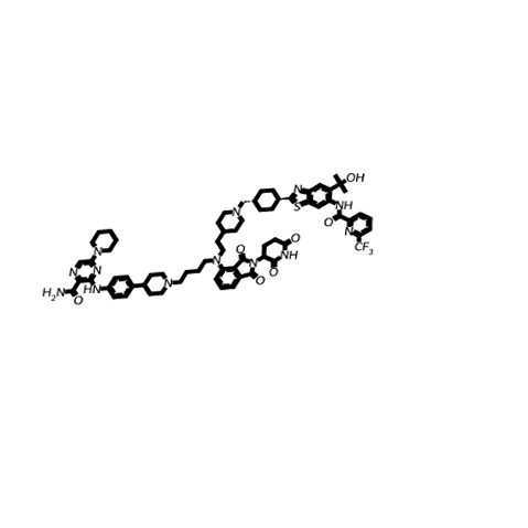 CC(C)(O)c1cc2nc([C@H]3CC[C@H](CN4CCC(CCN(CCCCN5CCC(c6ccc(Nc7nc(N8CCCCC8)cnc7C(N)=O)cc6)CC5)c5cccc6c5C(=O)N(C5CCC(=O)NC5=O)C6=O)CC4)CC3)sc2cc1NC(=O)c1cccc(C(F)(F)F)n1